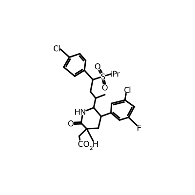 CC(CC(c1ccc(Cl)cc1)S(=O)(=O)C(C)C)C1NC(=O)C(C)(CC(=O)O)CC1c1cc(F)cc(Cl)c1